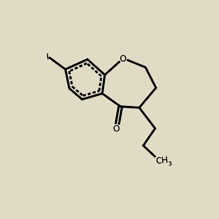 CCCC1CCOc2cc(I)ccc2C1=O